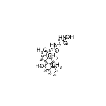 C[C@H](CCC(=O)NCCC(=O)NO)C1CCC2C3C(O)CC4CCCCC4(C)C3CCC21C